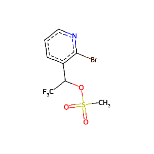 CS(=O)(=O)OC(c1cccnc1Br)C(F)(F)F